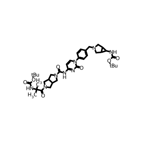 CC(C)(C)OC(=O)NC1C2CN(Cc3ccc(-n4ccc(NC(=O)N5CC6CN(C(=O)C(C)(C)NC(=O)OC(C)(C)C)CC6C5)nc4=O)cc3)CC21